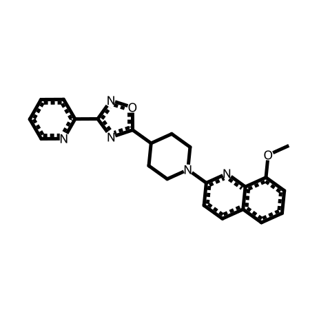 COc1cccc2ccc(N3CCC(c4nc(-c5ccccn5)no4)CC3)nc12